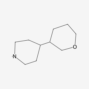 C1COCC(C2CC[N]CC2)C1